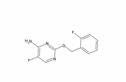 Nc1nc(OCc2ccccc2F)ncc1F